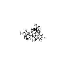 Cc1ccc(-c2[nH]c(-c3ccnc4[nH]ccc34)cc2C(=O)NC(C)F)c(F)c1